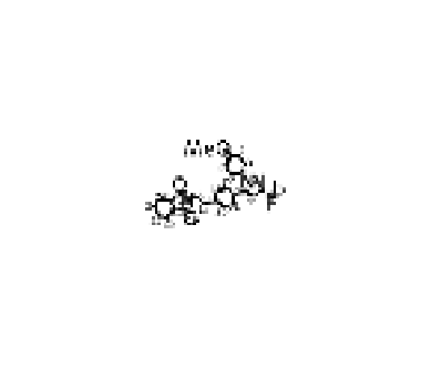 COc1ccc(-n2nc(C(F)F)cc2-c2ccc(CCN3C(=O)c4ccccc4C3=O)cc2)cc1